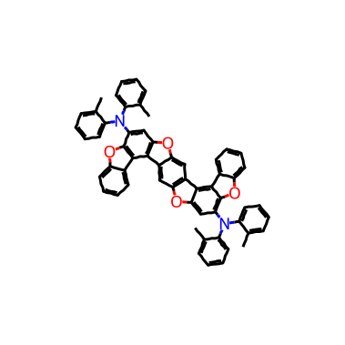 Cc1ccccc1N(c1ccccc1C)c1cc2oc3cc4c(cc3c2c2c1oc1ccccc12)oc1cc(N(c2ccccc2C)c2ccccc2C)c2oc3ccccc3c2c14